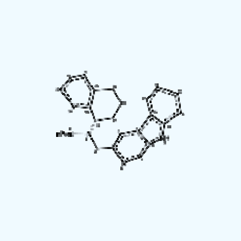 CCCCCN(Cc1cc2c(cn1)[nH]c1ccccc12)[C@H]1CCCc2cccnc21